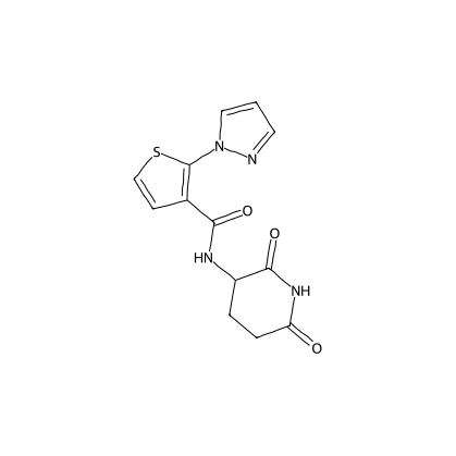 O=C1CCC(NC(=O)c2ccsc2-n2cccn2)C(=O)N1